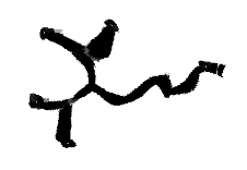 O=[N+]([O-])C(CCCO)[N+](=O)[O-]